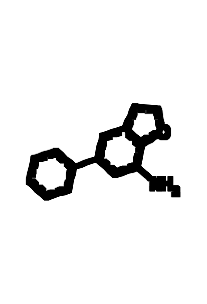 Nc1cc(-c2ccccc2)cc2ccoc12